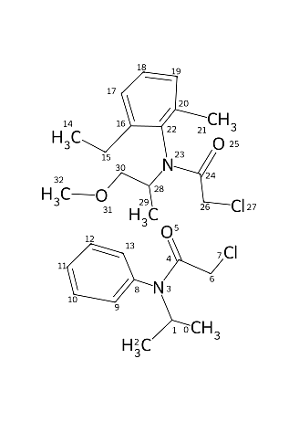 CC(C)N(C(=O)CCl)c1ccccc1.CCc1cccc(C)c1N(C(=O)CCl)C(C)COC